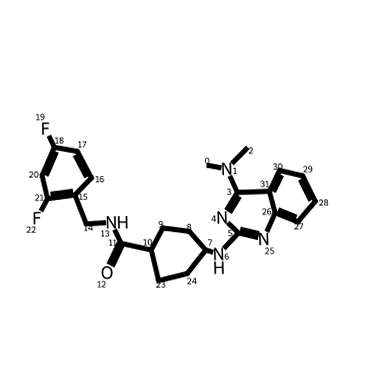 CN(C)c1nc(NC2CCC(C(=O)NCc3ccc(F)cc3F)CC2)nc2ccccc12